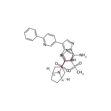 CS(=O)(=O)c1c(C2C[C@H]3CC[C@@H](C2)N3S(=O)(=O)c2nnc[nH]2)nc2c(-c3ccc(-c4ccccc4)nc3)cnn2c1N